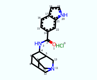 Cl.O=C(NC1C2CC3CC1CN(C3)C2)c1ccc2cc[nH]c2c1